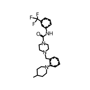 CC1CCN(c2ccccc2CN2CCN(C(=O)Nc3cccc(C(F)(F)F)c3)CC2)CC1